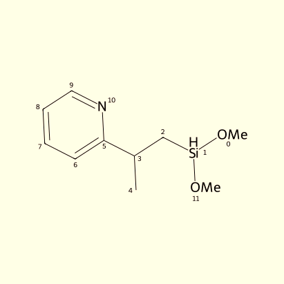 CO[SiH](CC(C)c1ccccn1)OC